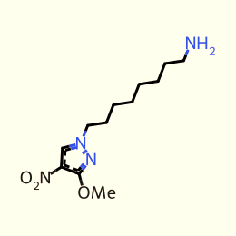 COc1nn(CCCCCCCCN)cc1[N+](=O)[O-]